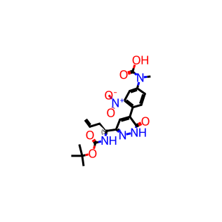 C=CC[C@H](NC(=O)OC(C)(C)C)c1cc(-c2ccc(N(C)C(=O)O)cc2[N+](=O)[O-])c(=O)[nH]n1